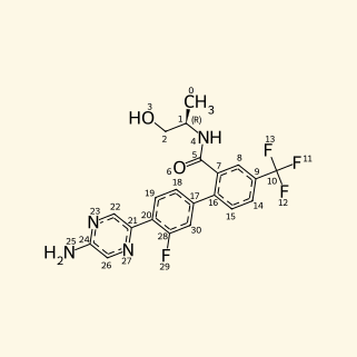 C[C@H](CO)NC(=O)c1cc(C(F)(F)F)ccc1-c1ccc(-c2cnc(N)cn2)c(F)c1